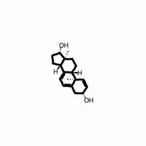 C[C@]12CC[C@H]3C(=CC=C4C[C@@H](O)C=C[C@@]43C)[C@@H]1CC[C@@H]2O